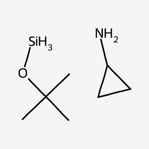 CC(C)(C)O[SiH3].NC1CC1